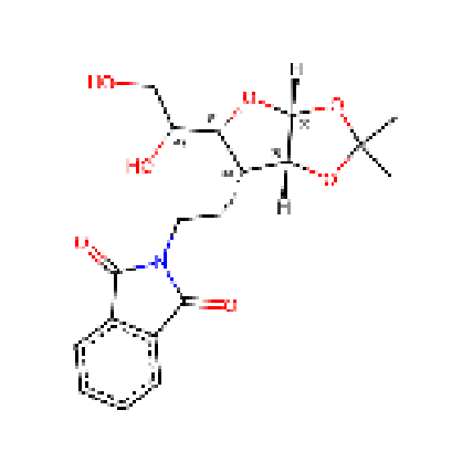 CC1(C)O[C@H]2O[C@@H]([C@H](O)CO)[C@@H](CCN3C(=O)c4ccccc4C3=O)[C@H]2O1